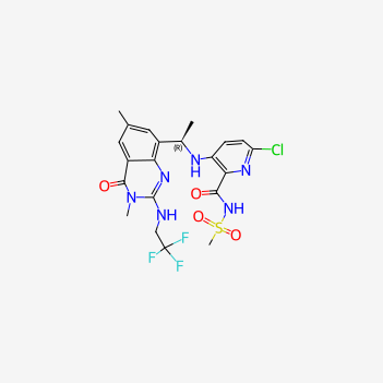 Cc1cc([C@@H](C)Nc2ccc(Cl)nc2C(=O)NS(C)(=O)=O)c2nc(NCC(F)(F)F)n(C)c(=O)c2c1